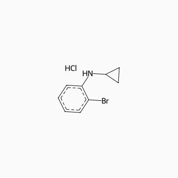 Brc1ccccc1NC1CC1.Cl